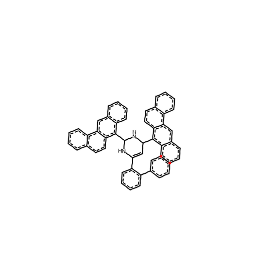 C1=C(c2ccccc2-c2ccccc2)NC(c2c3ccccc3cc3c2ccc2ccccc23)NC1c1c2ccccc2cc2c1ccc1ccccc12